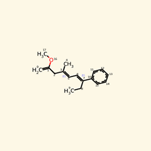 C=C(C/C(C)=C/C=C(\CC)c1ccccc1)OC